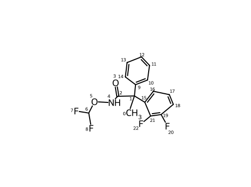 CC(C(=O)NOC(F)F)(c1ccccc1)c1cccc(F)c1F